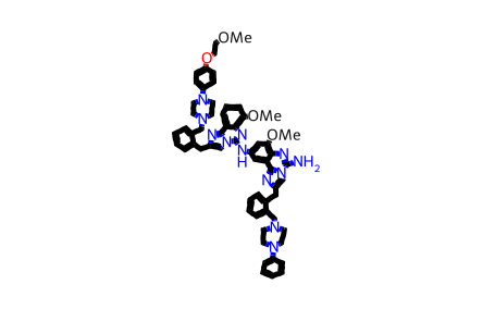 COCCOc1ccc(N2CCN(Cc3ccccc3Cc3cn4c(Nc5cc(OC)c6nc(N)n7cc(Cc8ccccc8CN8CCN(c9ccccc9)CC8)nc7c6c5)nc5c(OC)cccc5c4n3)CC2)cc1